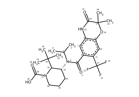 CC(C)N(C(=O)c1cc2c(cc1C(F)(F)F)OC(C)(C)C(=O)N2)[C@@H]1CCCN(C(=O)O)C1C(C)(C)C